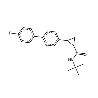 CC(C)(C)NC(=O)C1CC1c1ccc(-c2ccc(F)cc2)nc1